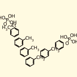 CCC.Cc1ccccc1.Cc1ccccc1.Cc1ccccc1.Cc1ccccc1.O=P(O)(O)O.O=P(O)(O)O.c1ccccc1.c1ccccc1